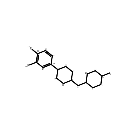 CC1CCC(CC2CCC(c3ccc(F)c(F)c3)CC2)CC1